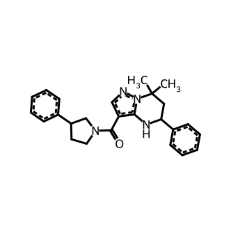 CC1(C)CC(c2ccccc2)Nc2c(C(=O)N3CCC(c4ccccc4)C3)cnn21